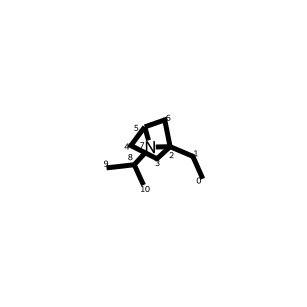 CCC12CCC(C1)N2C(C)C